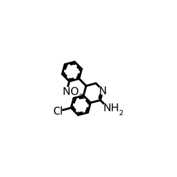 NC1=NCC(c2ccccc2[N+](=O)[O-])c2cc(Cl)ccc21